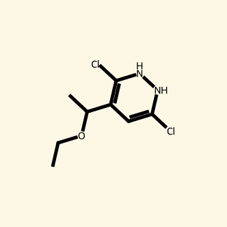 CCOC(C)C1=C(Cl)NNC(Cl)=C1